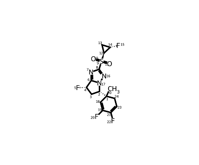 CC1([C@@H]2C[C@H](F)c3nc(S(=O)(=O)[C@H]4C[C@@H]4F)nn32)C=C(F)C(F)=CC1